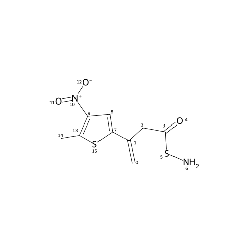 C=C(CC(=O)SN)c1cc([N+](=O)[O-])c(C)s1